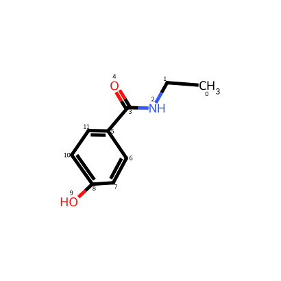 CCNC(=O)c1ccc(O)cc1